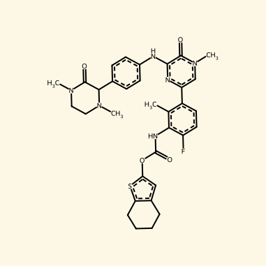 Cc1c(-c2cn(C)c(=O)c(Nc3ccc(C4C(=O)N(C)CCN4C)cc3)n2)ccc(F)c1NC(=O)Oc1cc2c(s1)CCCC2